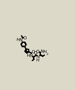 C/C=C(\NC(=O)C12CCC(c3ccc(NC(C)=O)cc3)(C1)C2)C(=O)N/C(=C/C)C(N)=O